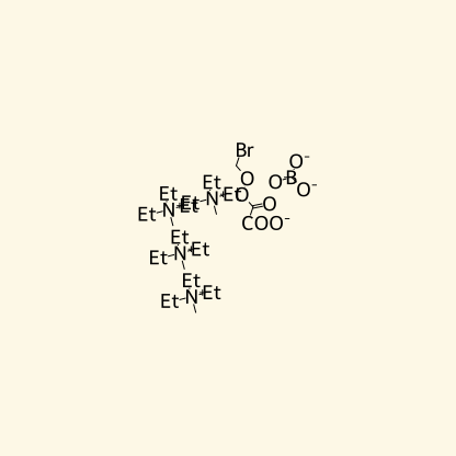 CC[N+](C)(CC)CC.CC[N+](C)(CC)CC.CC[N+](C)(CC)CC.CC[N+](C)(CC)CC.O=C([O-])C(=O)OOCBr.[O-]B([O-])[O-]